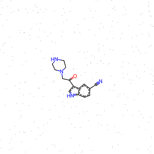 N#Cc1ccc2[nH]cc(C(=O)CN3CCNCC3)c2c1